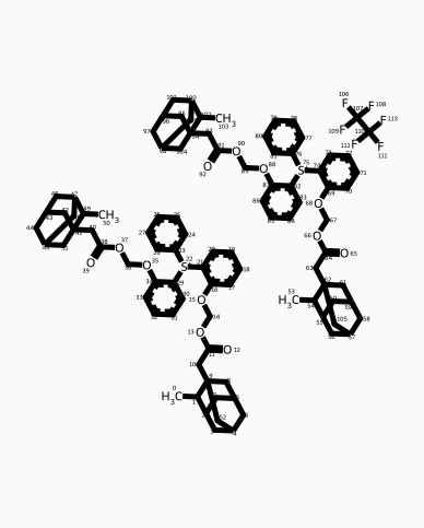 CC1C2CC3CC(C2)CC1(CC(=O)OCOc1ccccc1[S+](c1ccccc1)c1ccccc1OCOC(=O)CC12CC4CC(CC(C4)C1C)C2)C3.CC1C2CC3CC(C2)CC1(CC(=O)OCOc1ccccc1[S+](c1ccccc1)c1ccccc1OCOC(=O)CC12CC4CC(CC(C4)C1C)C2)C3.FC(F)(F)C(F)(F)F